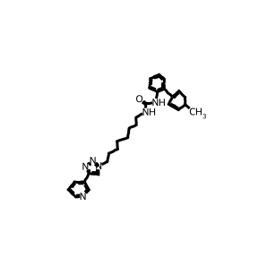 CC1C=CC(c2ccccc2NC(=O)NCCCCCCCCn2cc(-c3cccnc3)nn2)=CC1